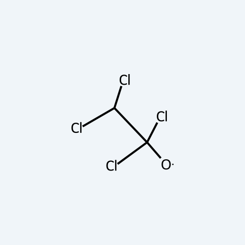 [O]C(Cl)(Cl)C(Cl)Cl